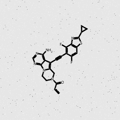 C=CC(=O)N1CCn2c(c(C#Cc3c(F)cc4sc(C5CC5)nc4c3F)c3c(N)ncnc32)C1